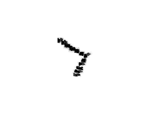 [Al].[Al].[Al].[As-3].[Ga].[Ga].[Ga].[In+3].[In+3].[In+3].[N-3].[P-3]